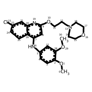 COc1ccc(Nc2cc(OCCN3CCOCC3)nc3cc(Cl)ccc23)cc1OC